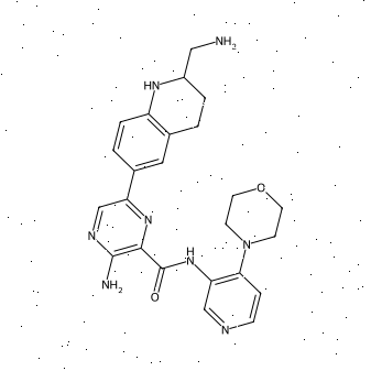 NCC1CCc2cc(-c3cnc(N)c(C(=O)Nc4cnccc4N4CCOCC4)n3)ccc2N1